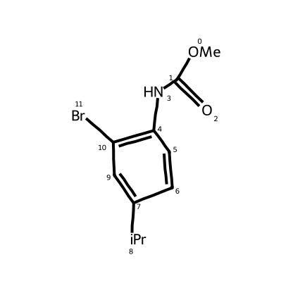 COC(=O)Nc1ccc(C(C)C)cc1Br